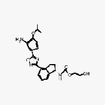 CC(C)Oc1ccc(-c2nc(-c3cccc4c3CC[C@@H]4NC(=O)OCCO)no2)cc1N